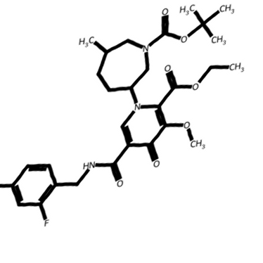 CCOC(=O)c1c(OC)c(=O)c(C(=O)NCc2ccc(F)cc2F)cn1C1CCC(C)CN(C(=O)OC(C)(C)C)C1